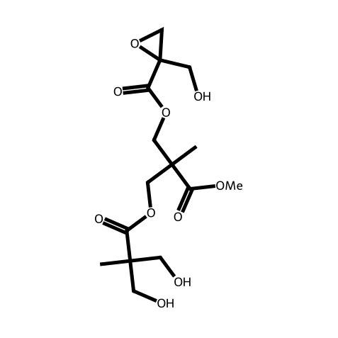 COC(=O)C(C)(COC(=O)C(C)(CO)CO)COC(=O)C1(CO)CO1